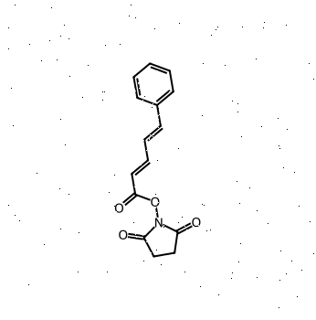 O=C(C=CC=Cc1ccccc1)ON1C(=O)CCC1=O